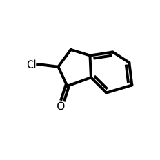 O=C1c2ccccc2CC1Cl